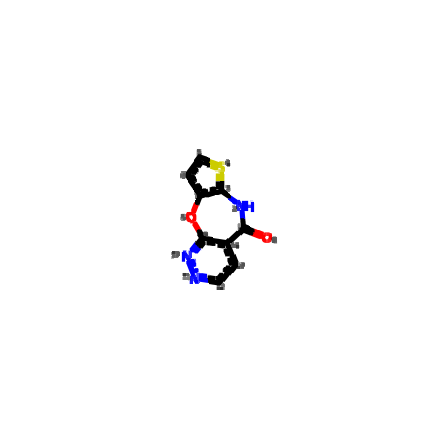 O=C1Nc2sccc2Oc2nnccc21